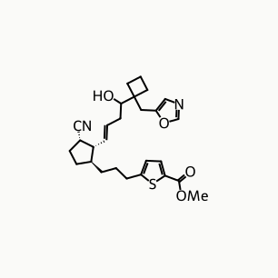 COC(=O)c1ccc(CCC[C@H]2CC[C@H](C#N)[C@@H]2/C=C/CC(O)C2(Cc3cnco3)CCC2)s1